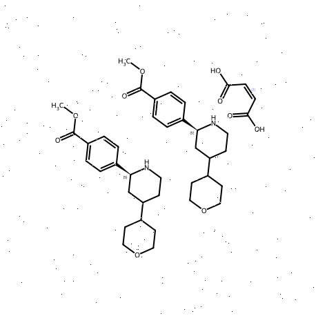 COC(=O)c1ccc([C@@H]2CC(C3CCOCC3)CCN2)cc1.COC(=O)c1ccc([C@@H]2CC(C3CCOCC3)CCN2)cc1.O=C(O)/C=C\C(=O)O